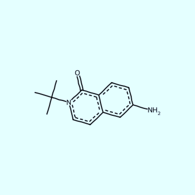 CC(C)(C)n1ccc2cc(N)ccc2c1=O